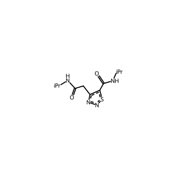 CC(C)NC(=O)Cc1nnsc1C(=O)NC(C)C